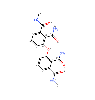 CNC(=O)c1cccc(Oc2cccc(C(=O)NC)c2C(N)=O)c1C(N)=O